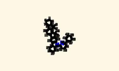 CC1(C)c2ccccc2-c2ccc3c(c21)C(C)(C)c1cc2c(cc1-3)c1ccccc1n2-c1cccc(-c2ccccc2)n1